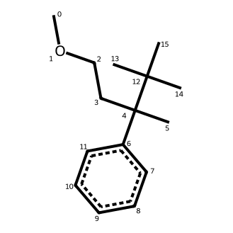 COCCC(C)(c1ccccc1)C(C)(C)C